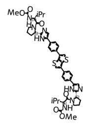 COC(=O)N[C@H](C(=O)N1CCC[C@H]1c1ncc(-c2ccc(-c3csc4c(-c5ccc(-c6cnc([C@@H]7CCCN7C(=O)[C@@H](NC(=O)OC)C(C)C)[nH]6)cc5)csc34)cc2)[nH]1)C(C)C